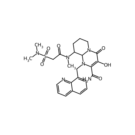 CN(C(=O)CS(=O)(=O)N(C)C)C1CCCN2C(=O)C(O)=C(C(N)=O)N(Cc3cccc4cccnc34)C12